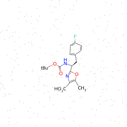 Cc1oc([C@H](Cc2ccc(F)cc2)NC(=O)OC(C)(C)C)nc1C(=O)O